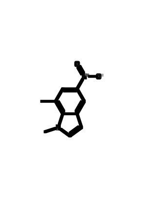 Cc1cc([N+](=O)[O-])cc2ccn(C)c12